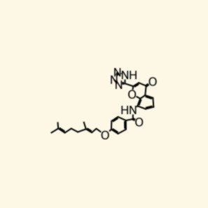 CC(C)=CCC/C(C)=C/COc1ccc(C(=O)Nc2cccc3c(=O)cc(-c4nnn[nH]4)oc23)cc1